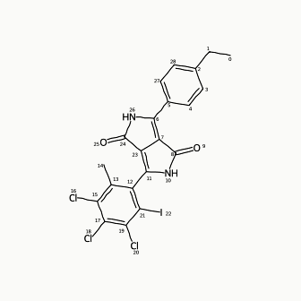 CCc1ccc(C2=C3C(=O)NC(c4c(C)c(Cl)c(Cl)c(Cl)c4I)=C3C(=O)N2)cc1